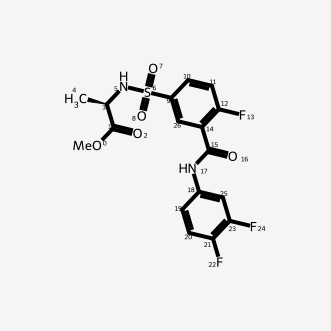 COC(=O)[C@@H](C)NS(=O)(=O)c1ccc(F)c(C(=O)Nc2ccc(F)c(F)c2)c1